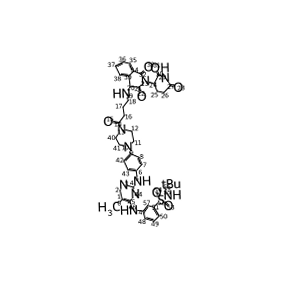 Cc1cnc(Nc2ccc(N3CCN(C(=O)CCCNC4C(=O)N(C5CCC(=O)NC5=O)C(=O)c5ccccc54)CC3)cc2)nc1Nc1cccc(S(=O)(=O)NC(C)(C)C)c1